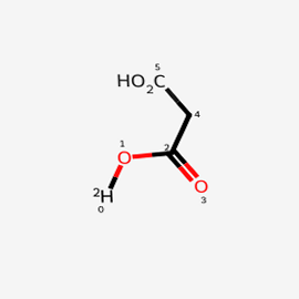 [2H]OC(=O)CC(=O)O